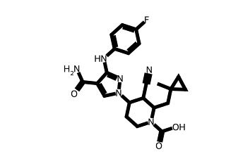 CC1(CC2C(C#N)C(n3cc(C(N)=O)c(Nc4ccc(F)cc4)n3)CCN2C(=O)O)CC1